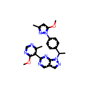 COc1ncnc(C)c1-c1ncc2cnn(C(C)c3ccc(-n4nc(C)cc4OC)cc3)c2n1